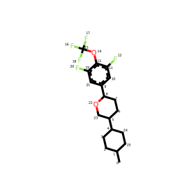 CC1CCC(C2CCC(c3cc(F)c(OC(F)(F)F)c(F)c3)OC2)CC1